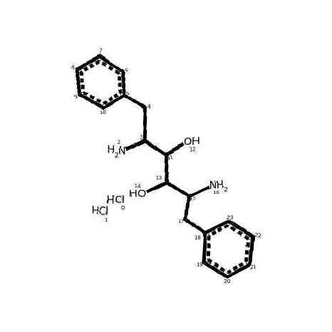 Cl.Cl.NC(Cc1ccccc1)C(O)C(O)C(N)Cc1ccccc1